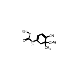 COC1(C)CC(NC(=O)OC(C)(C)C)=CC=C1C#N